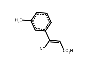 Cc1cccc(/C(C#N)=C/C(=O)O)c1